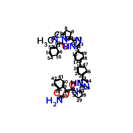 CN(C)[C@H](C(=O)N1CCC[C@H]1c1ncc(-c2ccc(-c3ccc(-c4cnc([C@@H]5CCCN5C(=O)[C@H](OC(N)=O)c5ccccc5)[nH]4)cc3)cc2)[nH]1)c1ccccc1